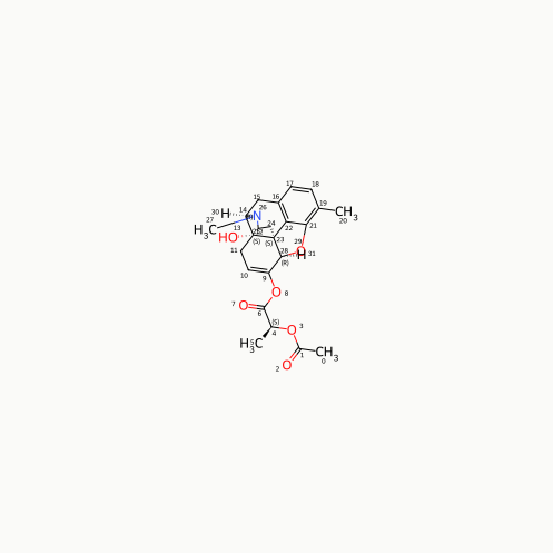 CC(=O)O[C@@H](C)C(=O)OC1=CC[C@@]2(O)[C@H]3Cc4ccc(C)c5c4[C@@]2(CCN3C)[C@H]1O5